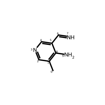 Cc1cncc(C=N)c1N